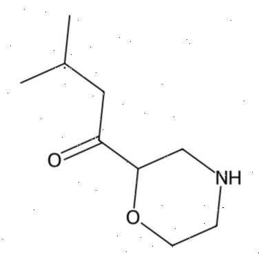 C[C](C)CC(=O)C1CNCCO1